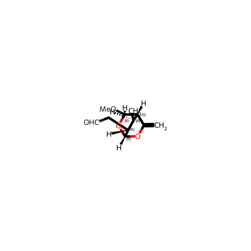 C=C1O[C@@H]2O[C@@H](OC)[C@H]1[C@H](C)[C@H]2CC=O